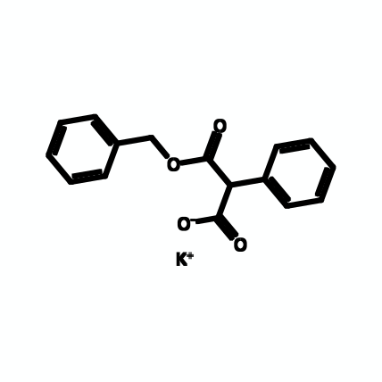 O=C([O-])C(C(=O)OCc1ccccc1)c1ccccc1.[K+]